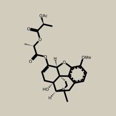 COc1ccc2c3c1O[C@@H]1C(OC(=O)[C@H](C)OC(=O)[C@H](C)OC(C)=O)=CC[C@]4(O)[C@H](C2)N(C)CC[C@@]314